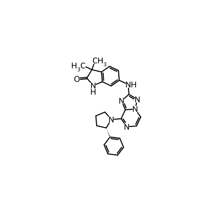 CC1(C)C(=O)Nc2cc(Nc3nc4c(N5CCC[C@H]5c5ccccc5)nccn4n3)ccc21